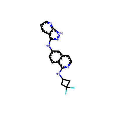 FC1(F)CC(Nc2nccc3cc(Nc4n[nH]c5ncccc45)ccc23)C1